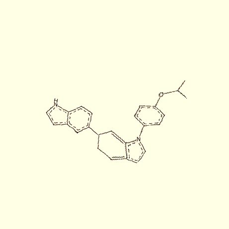 CC(C)Oc1ccc(-n2ccc3c2=CC(c2ccc4[nH]ccc4c2)CC=3)cc1